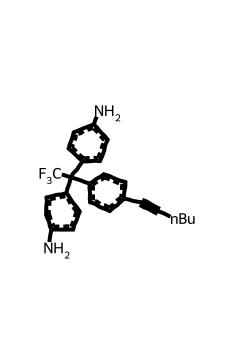 CCCCC#Cc1ccc(C(c2ccc(N)cc2)(c2ccc(N)cc2)C(F)(F)F)cc1